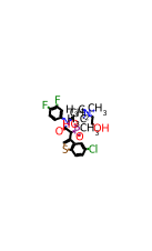 C=CN(C(=O)C(c1csc2ccc(Cl)cc12)P(C)(=O)O)c1ccc(F)c(F)c1.C[N+](C)(C)CCO